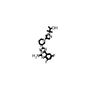 CC(O)C(C)(C)n1cc(N2CCC[C@@H](c3nc4c5cc(F)cc(F)c5nc(N)n4n3)C2)cn1